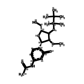 CO[C@@H]1C(O[Si](C)(C)C(C)(C)C)[C@@H](CO)O[C@H]1n1ccc(NC(C)=O)nc1=O